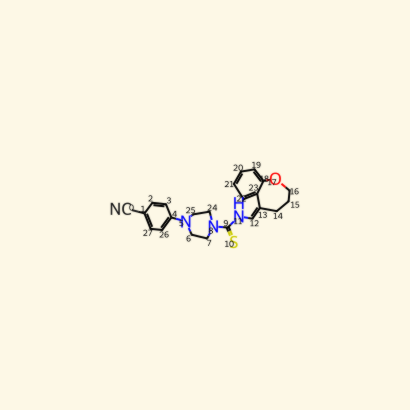 N#Cc1ccc(N2CCN(C(=S)N/C=C3/CCCOc4ccccc43)CC2)cc1